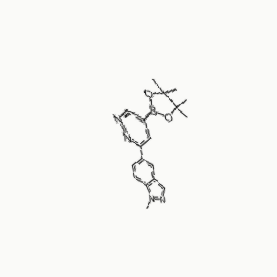 Cn1ncc2cc(-c3cc(B4OC(C)(C)C(C)(C)O4)cnn3)ccc21